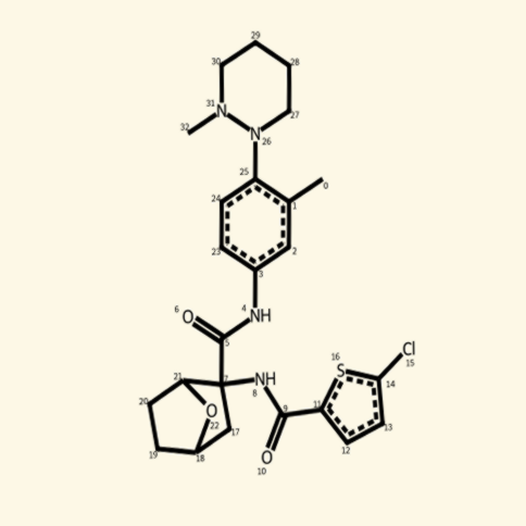 Cc1cc(NC(=O)C2(NC(=O)c3ccc(Cl)s3)CC3CCC2O3)ccc1N1CCCCN1C